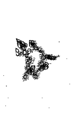 O=P(Cc1ccc(CSCc2ccc(-c3ccc(C=Cc4ccccc4)c(P(=O)([O-])[O-])c3)cc2)cc1Br)(OF)OF.O=P(Cc1ccc(CSCc2ccc(-c3ccc(C=Cc4ccccc4)c(P(=O)([O-])[O-])c3)cc2)cc1Br)(OF)OF.[Na+].[Na+].[Na+].[Na+]